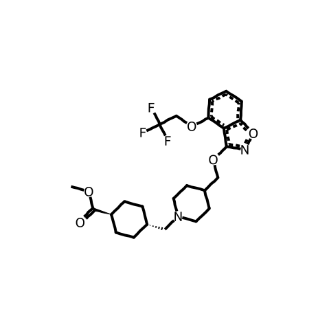 COC(=O)[C@H]1CC[C@H](CN2CCC(COc3noc4cccc(OCC(F)(F)F)c34)CC2)CC1